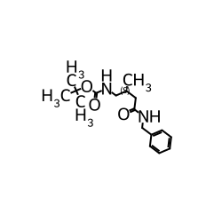 C[C@H](CNC(=O)OC(C)(C)C)CC(=O)NCc1ccccc1